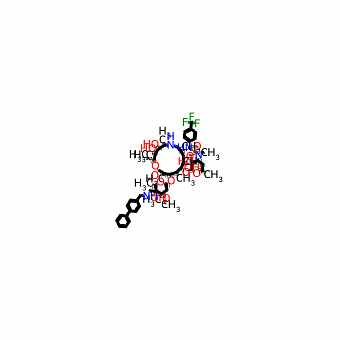 CC[C@H]1OC(=O)[C@H](C)[C@@H](O[C@H]2C[C@@](C)(OC)[C@](O)(CNCc3ccc(-c4ccccc4)cc3)[C@H](C)O2)[C@H](C)[C@@H](O[C@@H]2O[C@H](C)C[C@H](N(C)S(=O)(=O)Nc3ccc(C(F)(F)F)cc3)[C@H]2O)[C@](C)(O)C[C@@H](C)CN[C@H](C)[C@@H](O)[C@]1(C)O